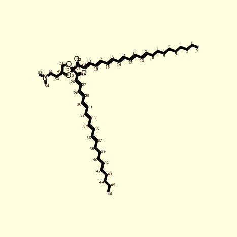 CCCCCCCCCC=CC=CC=CC=CC=CC=CC(=O)C1(C(=O)C=CC=CC=CC=CC=CC=CCCCCCCCCC)OCC(CCN(C)C)O1